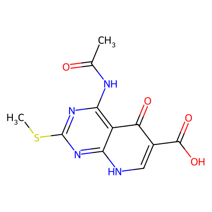 CSc1nc(NC(C)=O)c2c(=O)c(C(=O)O)c[nH]c2n1